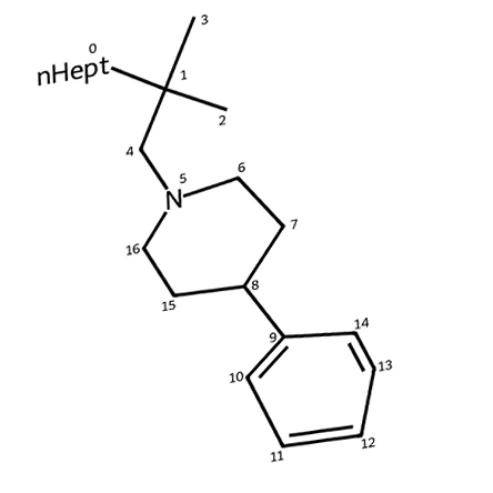 CCCCCCCC(C)(C)CN1CCC(c2ccccc2)CC1